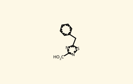 O=C(O)c1nsc(Cc2ccccc2)n1